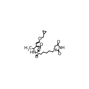 CC(NS(=O)(=O)CCCCCN1CC(=O)NC1=O)c1cc(OCC2CC2)on1